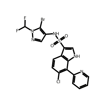 O=S(=O)(Nc1cnn(C(F)F)c1Br)c1c[nH]c2c(-c3ccccn3)c(Cl)ccc12